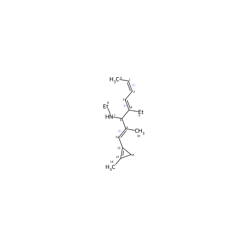 C/C=C\C=C(/CC)C(NCC)/C(C)=C/C1=C(C)C1